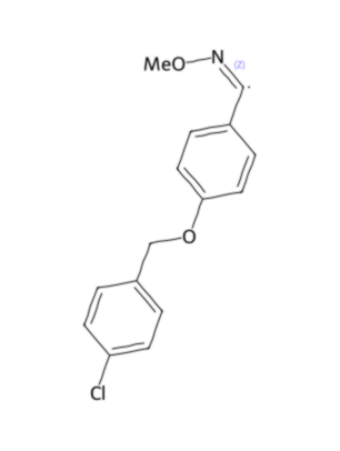 CO/N=[C]\c1ccc(OCc2ccc(Cl)cc2)cc1